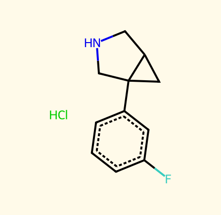 Cl.Fc1cccc(C23CNCC2C3)c1